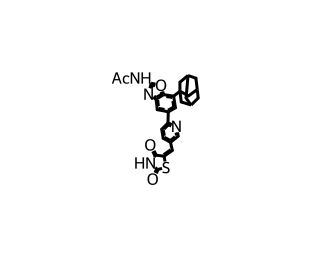 CC(=O)Nc1nc2cc(-c3ccc(C=C4SC(=O)NC4=O)cn3)cc(C34CC5CC(CC(C5)C3)C4)c2o1